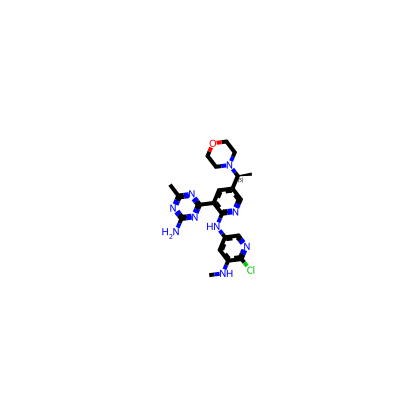 CNc1cc(Nc2ncc([C@H](C)N3CCOCC3)cc2-c2nc(C)nc(N)n2)cnc1Cl